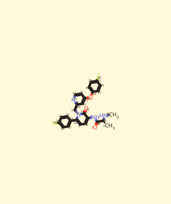 CN[C@@H](C)C(=O)Nc1ccc(-c2ccc(F)cc2)n(Cc2cc(Oc3ccc(F)cc3)ccn2)c1=O